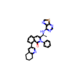 C[C@H](Nc1ncnc2scnc12)c1cc2cccc(-c3cnc4c(c3)CCCC4)c2c(=O)n1-c1ccccc1